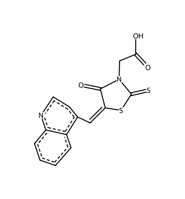 O=C(O)CN1C(=O)C(=Cc2ccnc3ccccc23)SC1=S